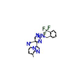 Cc1cccn2c(-c3nc(NCc4ccccc4C(F)(F)F)ncc3C#N)cnc12